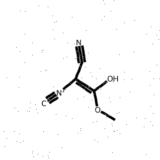 [C-]#[N+]/C(C#N)=C(/O)OC